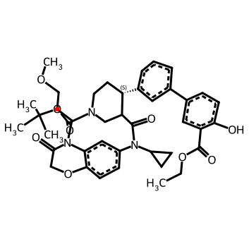 CCOC(=O)c1cc(-c2cccc([C@H]3CCN(C(=O)OC(C)(C)C)CC3C(=O)N(c3ccc4c(c3)N(CCCOC)C(=O)CO4)C3CC3)c2)ccc1O